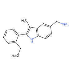 COCc1ccccc1-c1[nH]c2ccc(CN)cc2c1C